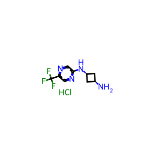 Cl.N[C@H]1C[C@@H](Nc2cnc(C(F)(F)F)cn2)C1